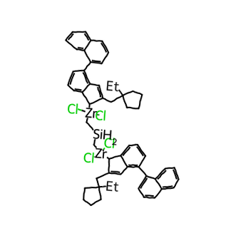 CCC1(CC2=Cc3c(-c4cccc5ccccc45)cccc3[CH]2[Zr]([Cl])([Cl])[CH2][SiH2][CH2][Zr]([Cl])([Cl])[CH]2C(CC3(CC)CCCC3)=Cc3c(-c4cccc5ccccc45)cccc32)CCCC1